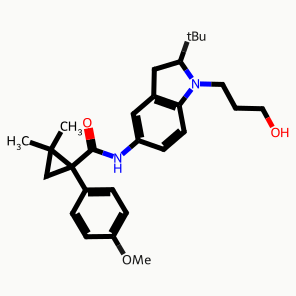 COc1ccc(C2(C(=O)Nc3ccc4c(c3)CC(C(C)(C)C)N4CCCO)CC2(C)C)cc1